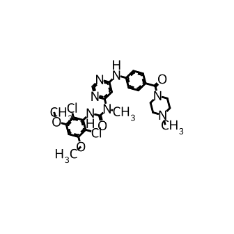 COc1cc(OC)c(Cl)c(NC(=O)N(C)c2cc(Nc3ccc(C(=O)N4CCN(C)CC4)cc3)ncn2)c1Cl